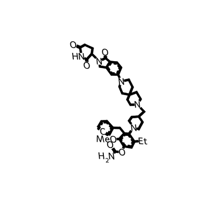 CCc1cc(OC(N)=O)c(OC)c(Cc2ccccc2)c1N1CCC(CN2CCC3(CC2)CCN(c2ccc4c(c2)CN(C2CCC(=O)NC2=O)C4=O)CC3)CC1